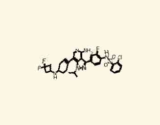 CC(C)n1nc(-c2ccc(NS(=O)(=O)c3ccccc3Cl)c(F)c2)c2c(N)ncc(C3=CCC(NC4CC(F)(F)C4)CC3)c21